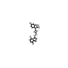 O=C1Nc2cc(F)ccc2C1C1CN(CCc2nnc3c(F)ccc(F)n23)C1